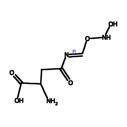 NC(CC(=O)/N=C/ONO)C(=O)O